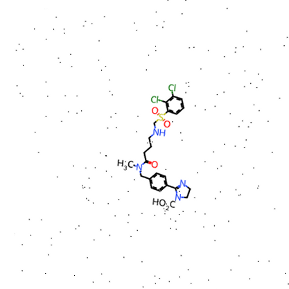 CN(Cc1ccc(C2=NCCN2C(=O)O)cc1)C(=O)CCCNCS(=O)(=O)c1cccc(Cl)c1Cl